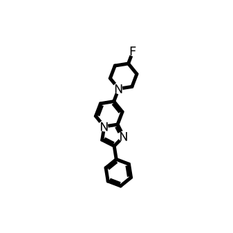 FC1CCN(c2ccn3cc(-c4ccccc4)nc3c2)CC1